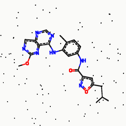 COc1ncc2ncnc(Nc3cc(NC(=O)c4cc(CC(C)C)on4)ccc3C)c2n1